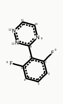 Fc1cccc(F)c1-c1nccnn1